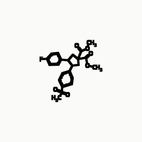 COC(=O)C1(C(=O)OC)CC(c2ccc(F)cc2)C(c2ccc(S(C)(=O)=O)cc2)C1